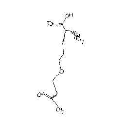 CC(=O)CCOCCCC(N)C(=O)O